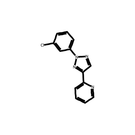 Clc1cccc(-n2ncc(-c3ccccn3)n2)c1